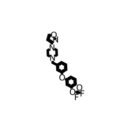 FC1(F)Oc2ccc(Oc3cccc(CN4CCN(c5ccon5)CC4)c3)cc2O1